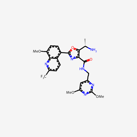 COc1cc(CNC(=O)c2nc(-c3ccc(OC)c4nc(C(F)(F)F)ccc34)oc2[C@H](C)N)nc(OC)n1